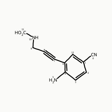 N#Cc1ccc(N)c(C#CCNC(=O)O)c1